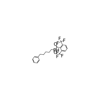 O=C(c1c(C(F)(F)F)cccc1C(F)(F)F)[PH](=O)CCCCCc1ccccc1